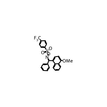 COc1ccc(/C(=N\OS(=O)(=O)c2ccc(C(F)(F)F)cc2)c2ccccc2)c2ccccc12